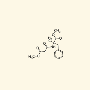 COC(=O)CC(=O)NC(C)(Cc1ccccc1)C(=O)OC